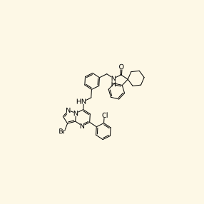 O=C(NCc1cccc(CNc2cc(-c3ccccc3Cl)nc3c(Br)cnn23)c1)C1(c2ccccc2)CCCCC1